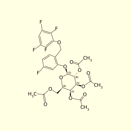 CC(=O)OC[C@H]1O[C@@H](Oc2cc(F)ccc2COc2c(F)c(F)cc(F)c2F)[C@H](OC(C)=O)[C@@H](OC(C)=O)[C@H]1OC(C)=O